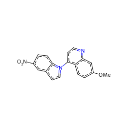 COc1ccc2c(-n3ccc4cc([N+](=O)[O-])ccc43)ccnc2c1